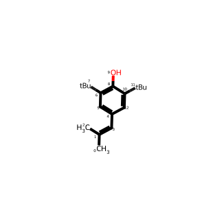 CC(C)=Cc1cc(C(C)(C)C)c(O)c(C(C)(C)C)c1